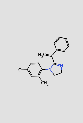 C=C(C1=NCCN1c1ccc(C)cc1C)c1ccccc1